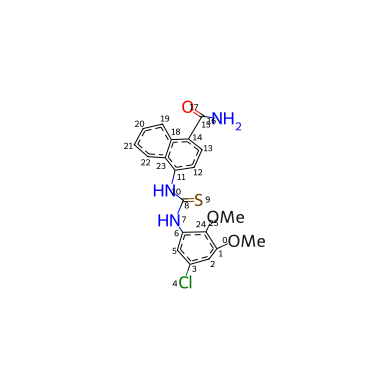 COc1cc(Cl)cc(NC(=S)Nc2ccc(C(N)=O)c3ccccc23)c1OC